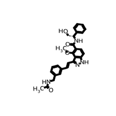 COc1c(C(=O)N[C@H](CO)c2ccccc2)ccc2[nH]nc(C=Cc3cccc(CNC(C)=O)c3)c12